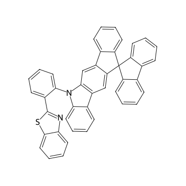 c1ccc(-n2c3ccccc3c3cc4c(cc32)-c2ccccc2C42c3ccccc3-c3ccccc32)c(-c2nc3ccccc3s2)c1